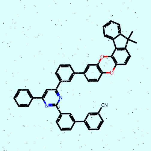 CC1(C)c2ccccc2-c2c1ccc1c2Oc2cc(-c3cccc(-c4cc(-c5ccccc5)nc(-c5cccc(-c6cccc(C#N)c6)c5)n4)c3)ccc2O1